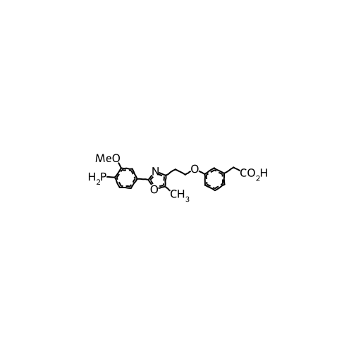 COc1cc(-c2nc(CCOc3cccc(CC(=O)O)c3)c(C)o2)ccc1P